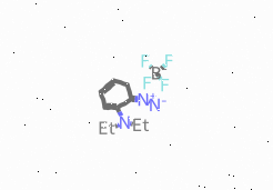 CCN(CC)C1=CC=CCC1=[N+]=[N-].F[B-](F)(F)F